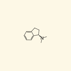 CN(C)[C@@H]1CCc2ccccc21